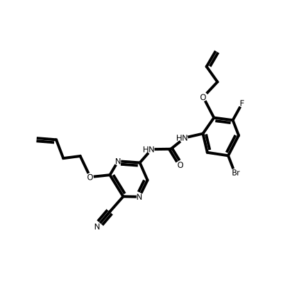 C=CCCOc1nc(NC(=O)Nc2cc(Br)cc(F)c2OCC=C)cnc1C#N